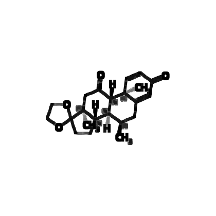 C[C@@H]1CC2=CC(=O)C=C[C@]2(C)[C@H]2C(=O)C[C@@]3(C)[C@@H](CCC34OCCO4)[C@H]12